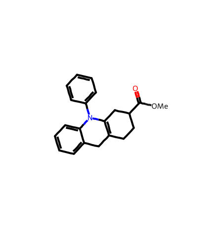 COC(=O)C1CCC2=C(C1)N(c1ccccc1)c1ccccc1C2